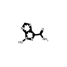 NC(=O)c1nn(O)c2ncsc12